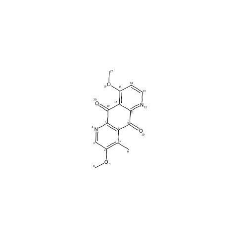 COc1cnc2c(c1C)C(=O)c1nccc(OC)c1C2=O